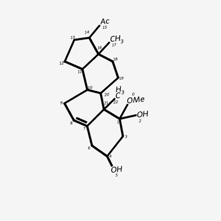 COC1(O)CC(O)CC2=CCC3C4CCC(C(C)=O)C4(C)CCC3C21C